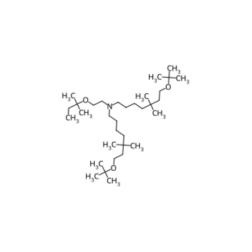 CCC(C)(C)OCCN(CCCCC(C)(C)CCOC(C)(C)C)CCCCC(C)(C)CCOC(C)(C)C